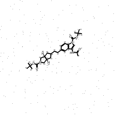 CC(=O)Nc1cn(C(=O)OC(C)(C)C)c2ccc(CCC3C[C@@H]4CN(C(=O)OC(C)(C)C)C[C@@H]4C3)cc12